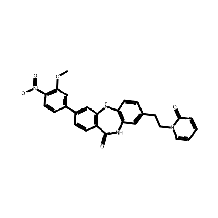 COc1cc(-c2ccc3c(c2)Nc2ccc(CCn4ccccc4=O)cc2NC3=O)ccc1[N+](=O)[O-]